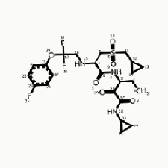 CC[C@H](NC(=O)[C@H](CS(=O)(=O)CC1CC1)NCC(F)(F)Oc1ccc(F)cc1)C(=O)C(=O)NC1CC1